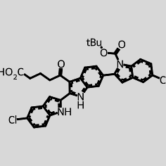 CC(C)(C)OC(=O)n1c(-c2ccc3c(C(=O)CCCC(=O)O)c(-c4cc5cc(Cl)ccc5[nH]4)[nH]c3c2)cc2cc(Cl)ccc21